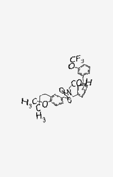 CC1(C)CCc2cc(S(=O)(=O)N(CC(=O)O)Cc3cccc(-c4cccc(OC(F)(F)F)c4)c3)ccc2O1